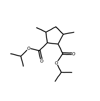 CC(C)OC(=O)C1C(C)CC(C)C1C(=O)OC(C)C